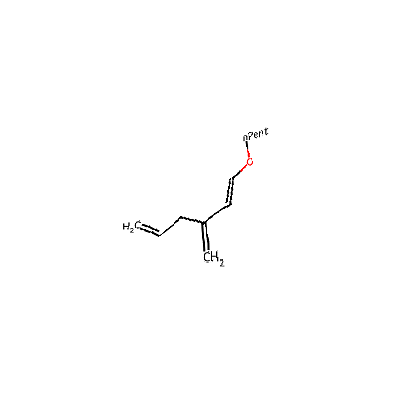 C=CCC(=C)C=COCCCCC